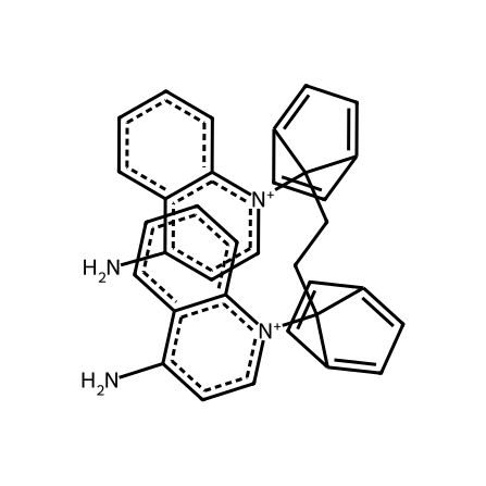 Nc1cc[n+](C2(CCC3([n+]4ccc(N)c5ccccc54)C4=CC=C3C=C4)C3=CC=C2C=C3)c2ccccc12